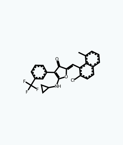 Cc1cccc2ccc(Cl)c(C=C3OC(NC4CC4)=C(c4cccc(C(F)(F)F)c4)C3=O)c12